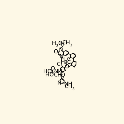 CNc1cncc(COc2cc(OCc3cccc(-c4cccc(-c5ccc6c(c5)ncc(=O)n6CCN(C)C)c4C)c3C)c(Cl)cc2CN[C@@](C)(O)C(=O)O)c1